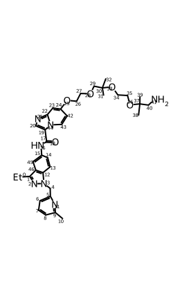 CCc1nn(Cc2cccc(C)n2)c2ccc(NC(=O)c3cnc4cc(OCCOCC(C)(C)OCCOC(C)(C)CN)ccn34)cc12